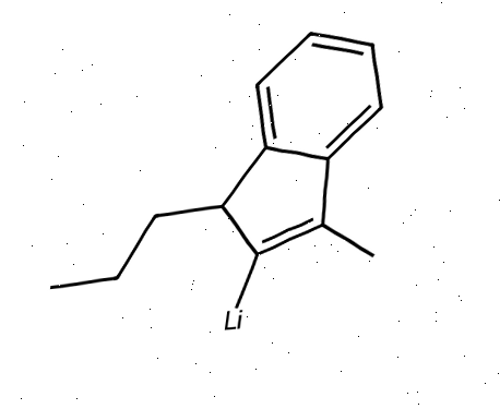 [Li][C]1=C(C)c2ccccc2C1CCC